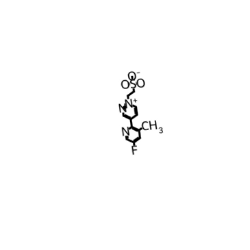 Cc1cc(F)cnc1-c1cc[n+](CCS(=O)(=O)[O-])nc1